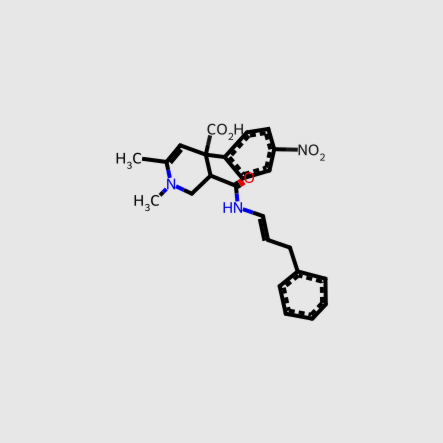 CC1=CC(C(=O)O)(c2ccc([N+](=O)[O-])cc2)C(C(=O)NC=CCc2ccccc2)CN1C